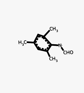 Cc1cc(C)c([N]C=O)c(C)c1